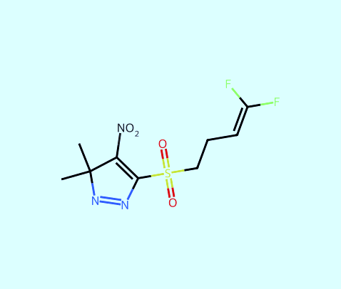 CC1(C)N=NC(S(=O)(=O)CCC=C(F)F)=C1[N+](=O)[O-]